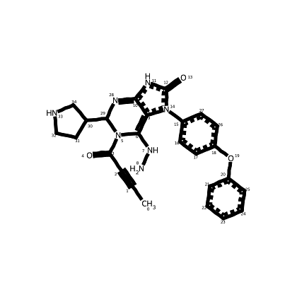 CC#CC(=O)N1C(NN)=c2c([nH]c(=O)n2-c2ccc(Oc3ccccc3)cc2)=NC1C1CCNC1